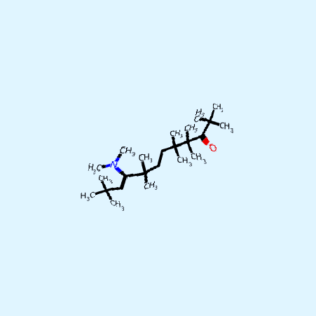 CN(C)C(CC(C)(C)C)C(C)(C)CCC(C)(C)C(C)(C)C(=O)C(C)(C)C